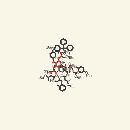 C[C@@H](OC(C)(C)C)[C@H](NC(=O)CNC(=O)[C@H](CCC(=O)NC(c1ccccc1)(c1ccccc1)c1ccccc1)NC(=O)C(C)(C)NC(=O)[C@H](Cc1ccc(OC(C)(C)C)cc1)NC(=O)OC(C)(C)C)C(=O)N[C@@H](Cc1ccccc1)C(=O)N[C@H](C(=O)N[C@@H](COC(C)(C)C)C(=O)N[C@@H](CC(=O)OC(C)(C)C)C(=O)N[C@@H](Cc1ccc(OC(C)(C)C)cc1)C(=O)N[C@@H](COC(C)(C)C)C(=O)O)[C@@H](C)OC(C)(C)C